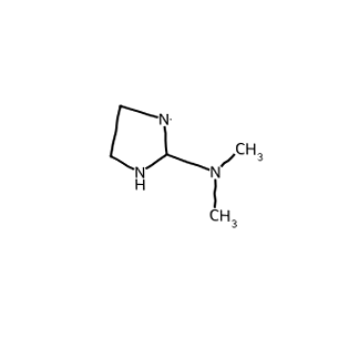 CN(C)C1[N]CCN1